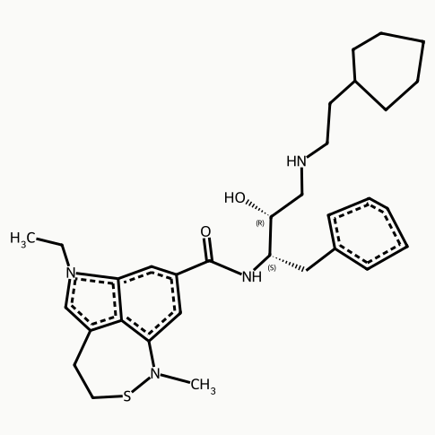 CCn1cc2c3c(cc(C(=O)N[C@@H](Cc4ccccc4)[C@H](O)CNCCC4CCCCC4)cc31)N(C)SCC2